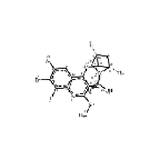 CSc1nc2c(F)c(Br)c(C)cc2c(N[C@H]2[C@@H]3C[C@H]2N(C(=O)O)C3)c1I